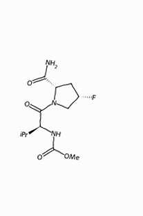 COC(=O)N[C@H](C(=O)N1C[C@@H](F)C[C@H]1C(N)=O)C(C)C